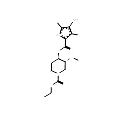 CCOC(=O)N1CC[C@@H](NC(=O)c2[nH]c(C)c(N)c2Cl)[C@@H](OC)C1